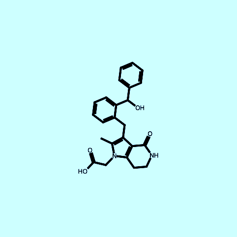 Cc1c(Cc2ccccc2C(O)c2ccccc2)c2c(n1CC(=O)O)CCNC2=O